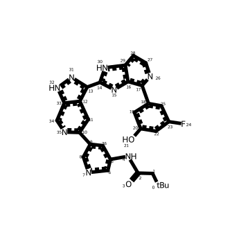 CC(C)(C)CC(=O)Nc1cncc(-c2cc3c(-c4nc5c(-c6cc(O)cc(F)c6)nccc5[nH]4)n[nH]c3cn2)c1